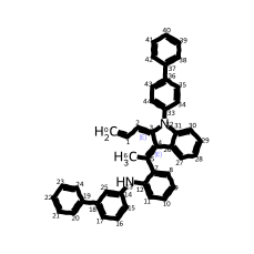 C=C/C=c1\c(=C(/C)c2ccccc2Nc2cccc(-c3ccccc3)c2)c2ccccc2n1-c1ccc(-c2ccccc2)cc1